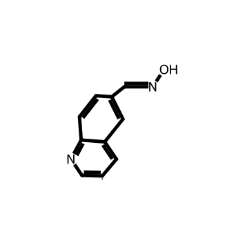 ON=Cc1ccc2nc[c]cc2c1